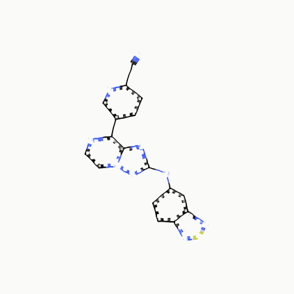 N#Cc1ccc(-c2nccn3nc(Nc4ccc5nsnc5c4)nc23)cn1